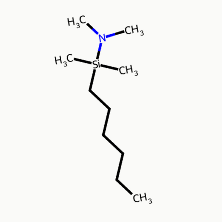 CCCCCC[Si](C)(C)N(C)C